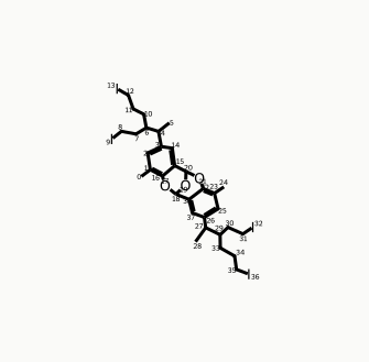 Cc1cc(C(C)C(CCI)CCCI)cc2c1OC1OC2Oc2c(C)cc(C(C)C(CCI)CCCI)cc21